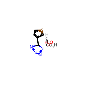 CC(=O)O.O.c1cc(C2N=NN=N2)cs1